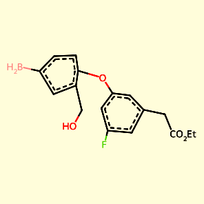 Bc1ccc(Oc2cc(F)cc(CC(=O)OCC)c2)c(CO)c1